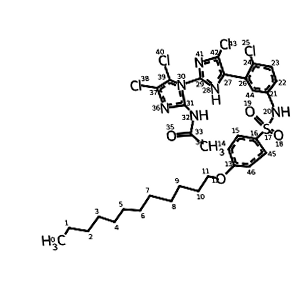 CCCCCCCCCCCCOc1ccc(S(=O)(=O)Nc2ccc(Cl)c(-c3[nH]c(-n4c(NC(C)=O)nc(Cl)c4Cl)nc3Cl)c2)cc1